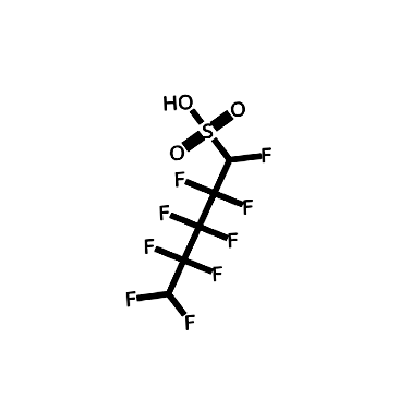 O=S(=O)(O)C(F)C(F)(F)C(F)(F)C(F)(F)C(F)F